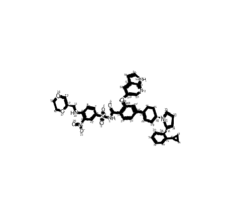 O=C(NS(=O)(=O)c1ccc(NC[C@@H]2COCCO2)c([N+](=O)[O-])c1)c1ccc(C2=CC[C@@H](N3CCC[C@H]3c3ccccc3C3CC3)CC2)cc1Oc1cnc2[nH]ccc2c1